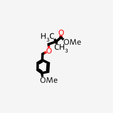 COC(=O)C(C)(C)COCc1ccc(OC)cc1